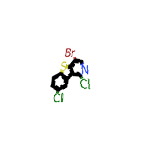 Clc1ccc2sc3c(Br)cnc(Cl)c3c2c1